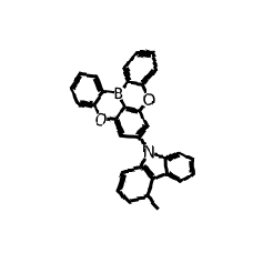 CC1CC=Cc2c1c1ccccc1n2-c1cc2c3c(c1)Oc1ccccc1B3c1ccccc1O2